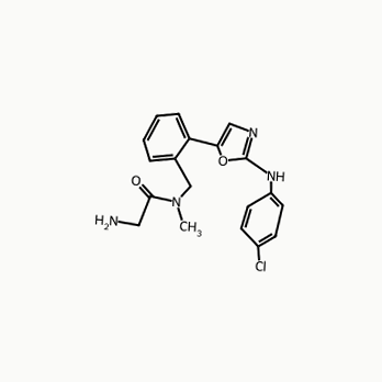 CN(Cc1ccccc1-c1cnc(Nc2ccc(Cl)cc2)o1)C(=O)CN